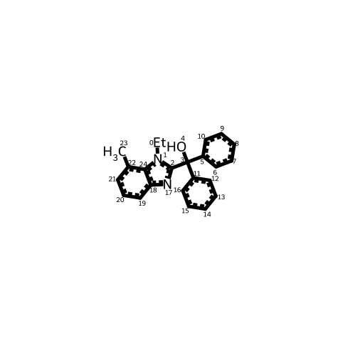 CCn1c(C(O)(c2ccccc2)c2ccccc2)nc2cccc(C)c21